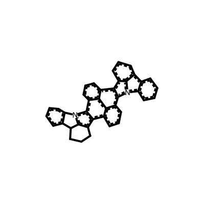 c1ccc2c(c1)C1CCCc3c1n-2c1c2cccc4c2c2c(cccc2c2c4c4cccc5c6ccccc6n2c54)c31